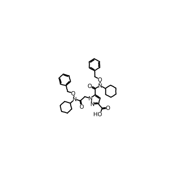 O=C(O)c1cc(C(=O)N(OCc2ccccc2)C2CCCCC2)n(CC(=O)N(OCc2ccccc2)C2CCCCC2)n1